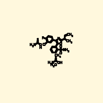 C.C=CC(C)c1nc(-c2ccc(F)c(Cl)c2)c(-c2ccccc2S(N)(=O)=O)o1.NC(O)=S.NC(O)=S.O